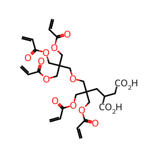 C=CC(=O)OCC(COCC(COC(=O)C=C)(COC(=O)C=C)CC(CC(=O)O)C(=O)O)(COC(=O)C=C)COC(=O)C=C